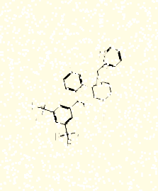 Cl.FC(F)(F)c1cc(CO[C@@H]2CCCN(Cc3ccccn3)[C@@H]2c2ccccc2)cc(C(F)(F)F)c1